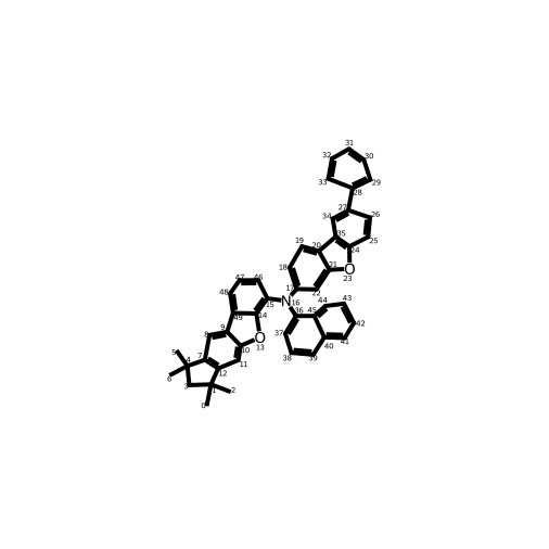 CC1(C)CC(C)(C)c2cc3c(cc21)oc1c(N(c2ccc4c(c2)oc2ccc(-c5ccccc5)cc24)c2cccc4ccccc24)cccc13